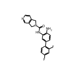 Nc1ccc(-c2ccc(F)cc2F)cc1NC(=O)N1Cc2ccncc2C1